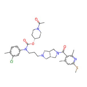 CSc1cc(C)c(C(=O)N2CC3CN(CCCN(C(=O)OC4CCN(C(C)=O)CC4)c4ccc(C)c(Cl)c4)CC3C2)c(C)n1